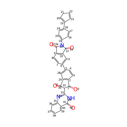 O=C1c2ccc(-c3ccc4c(c3)C(=O)N(c3ccc(C5=CCC=C5)cc3)C4=O)cc2C(=O)C1c1nc2ccccc2c(=O)[nH]1